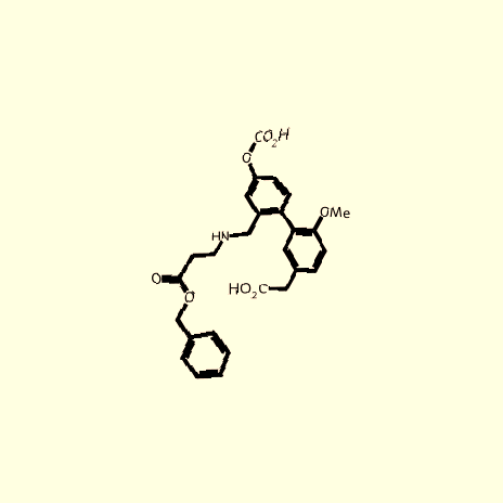 COc1ccc(CC(=O)O)cc1-c1ccc(OC(=O)O)cc1CNCCC(=O)OCc1ccccc1